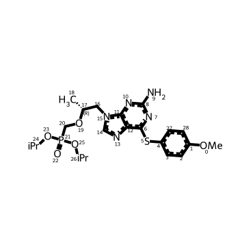 COc1ccc(Sc2nc(N)nc3c2ncn3C[C@@H](C)OCP(=O)(OC(C)C)OC(C)C)cc1